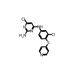 Nc1nc(Cl)cc(Nc2ccc(Sc3ccncc3)c(Cl)c2)n1